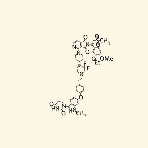 CCOc1cc([C@@H](CS(C)(=O)=O)N2C(=O)c3ccnc(N4CCC([C@@H]5CCN(CCc6ccc(Oc7ccc8c(N9CCC(=O)NC9=O)nn(C)c8c7)cc6)CC5(F)F)CC4)c3C2=O)ccc1OC